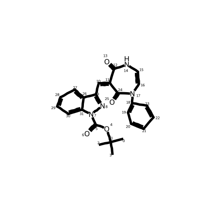 CC(C)(C)OC(=O)n1nc(C=C2C(=O)NC=CN(c3ccccc3)C2=O)c2ccccc21